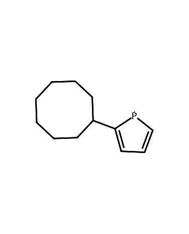 C1=C[P]C(C2CCCCCCC2)=C1